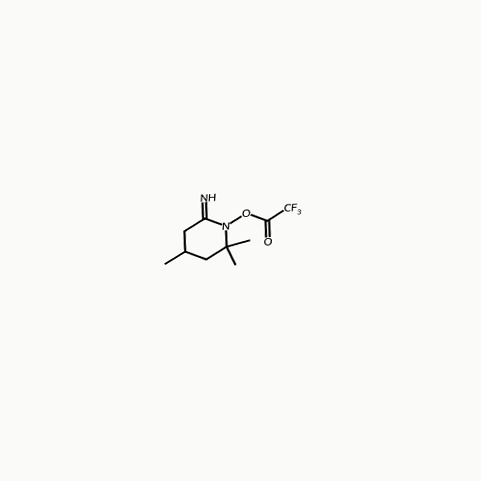 CC1CC(=N)N(OC(=O)C(F)(F)F)C(C)(C)C1